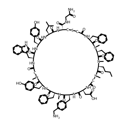 CCCC[C@H]1C(=O)N(C)CC(=O)N[C@@H](CC(=O)O)C(=O)N[C@@H](Cc2ccc(CN)cc2)C(=O)N(C)[C@@H](Cc2ccccc2)C(=O)N[C@@H](Cc2ccc(O)cc2)C(=O)N(C)CC(=O)N[C@@H](Cc2c[nH]c3ccccc23)C(=O)N[C@@H](Cc2ccc(O)cc2)C(=O)N[C@@H](CC(C)C)C(=O)N[C@H](C(=O)NCC(N)=O)CSCC(=O)N[C@@H](Cc2ccccc2)C(=O)N(C)[C@@H](Cc2ccccc2)C(=O)N1C